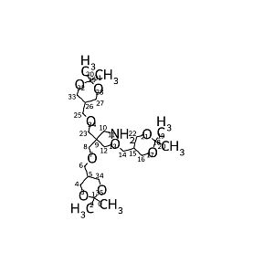 CC1(C)OCC(COCC(CN)(COCC2COC(C)(C)OC2)COCC2COC(C)(C)OC2)CO1